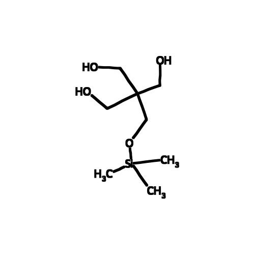 C[Si](C)(C)OCC(CO)(CO)CO